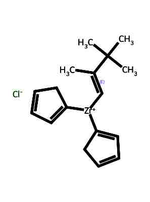 C/C(=[CH]\[Zr+]([C]1=CC=CC1)[C]1=CC=CC1)C(C)(C)C.[Cl-]